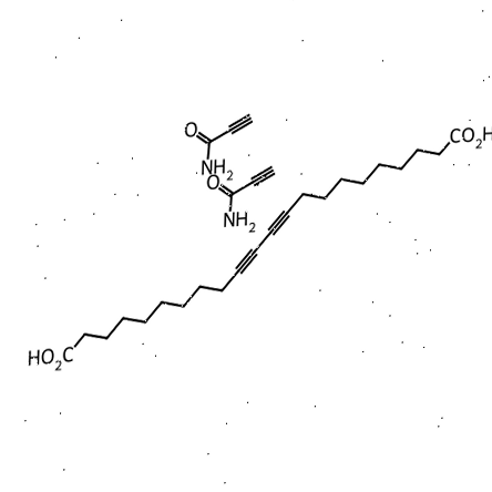 C#CC(N)=O.C#CC(N)=O.O=C(O)CCCCCCCCC#CC#CCCCCCCCCC(=O)O